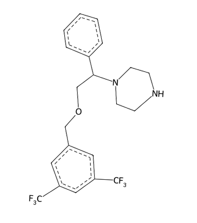 FC(F)(F)c1cc(COCC(c2ccccc2)N2CCNCC2)cc(C(F)(F)F)c1